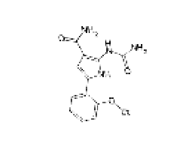 CCOc1ccccc1-c1cc(C(N)=O)c(NC(N)=O)[nH]1